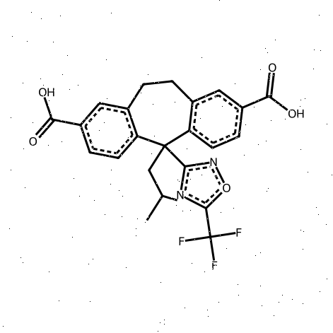 CC(C)CC1(c2noc(C(F)(F)F)n2)c2ccc(C(=O)O)cc2CCc2cc(C(=O)O)ccc21